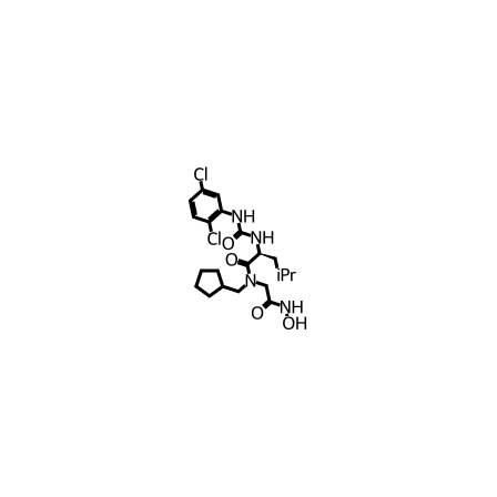 CC(C)C[C@H](NC(=O)Nc1cc(Cl)ccc1Cl)C(=O)N(CC(=O)NO)CC1CCCC1